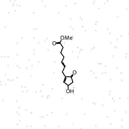 COC(=O)CCC/C=C/CC1=CC(O)CC1=O